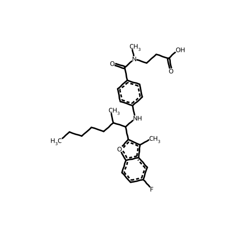 CCCCCC(C)C(Nc1ccc(C(=O)N(C)CCC(=O)O)cc1)c1oc2ccc(F)cc2c1C